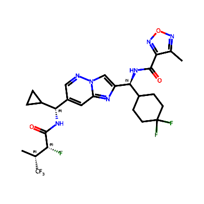 Cc1nonc1C(=O)N[C@H](c1cn2ncc([C@H](NC(=O)[C@H](F)[C@@H](C)C(F)(F)F)C3CC3)cc2n1)C1CCC(F)(F)CC1